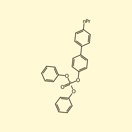 CCCc1ccc(-c2ccc(OP(=O)(Oc3ccccc3)Oc3ccccc3)cc2)cc1